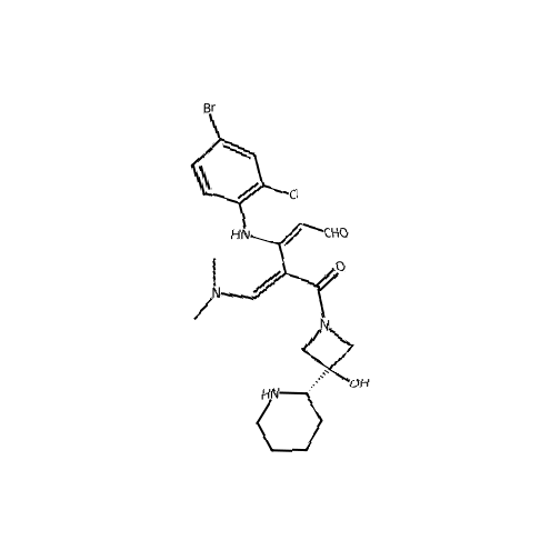 CN(C)/C=C(C(=O)N1CC(O)([C@@H]2CCCCN2)C1)\C(=C/C=O)Nc1ccc(Br)cc1Cl